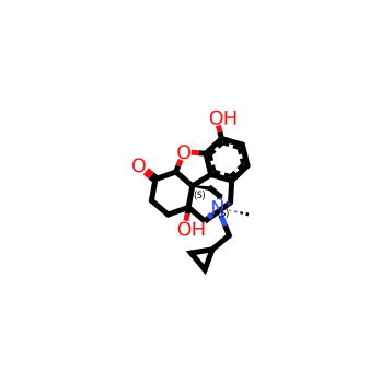 C[N@@+]1(CC2CC2)CC[C@]23c4c5ccc(O)c4OC2C(=O)CCC3(O)C1C5